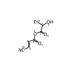 CCC(O)C(=O)OC(=O)C=CC#N